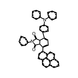 O=C1C2C(c3ccc(N(c4ccccc4)c4ccccc4)cc3)=CC=C(c3ccc4ccc5cccc6ccc3c4c56)C2C(=O)N1c1ccccc1